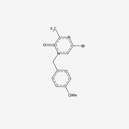 COc1ccc(Cn2cc(Br)nc(C(F)(F)F)c2=O)cc1